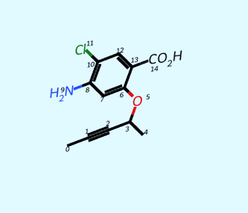 CC#CC(C)Oc1cc(N)c(Cl)cc1C(=O)O